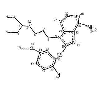 CCC(CC)NCCCn1c(Sc2cc(OC)ccc2I)nc2c(N)ncnc21